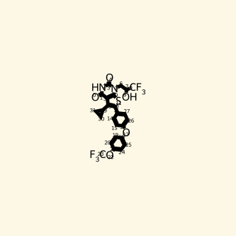 O=c1[nH]c(=O)n(CC(O)C(F)(F)F)c2sc(-c3ccc(Oc4ccc(OC(F)(F)F)cc4)cc3)c(C3CC3)c12